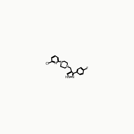 Fc1ccc(-c2n[nH]cc2CN2CCN(c3cccc(Cl)n3)CC2)cc1